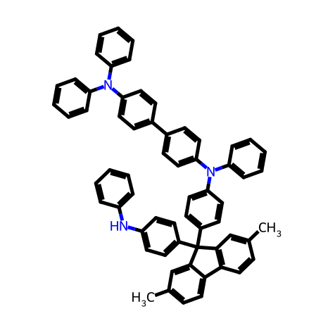 Cc1ccc2c(c1)C(c1ccc(Nc3ccccc3)cc1)(c1ccc(N(c3ccccc3)c3ccc(-c4ccc(N(c5ccccc5)c5ccccc5)cc4)cc3)cc1)c1cc(C)ccc1-2